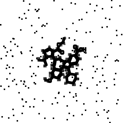 CCOC(=O)c1cnn(C(C)C)c1C1=Cc2cc(OC)ccc2-c2c(C3CCCCC3)c3ccc(C(=O)O)cc3n2C1